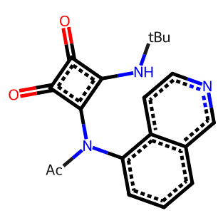 CC(=O)N(c1c(NC(C)(C)C)c(=O)c1=O)c1cccc2cnccc12